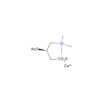 CC(=O)O[C@H](CC(=O)O)C[N+](C)(C)C.[Ca+2]